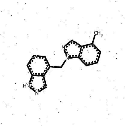 Cc1cccc2c1cnn2Cc1cccc2[nH]ncc12